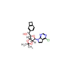 CC1(C)O[C@@H]2[C@@H]([C@H](O)c3ccc4c(c3)CC4)OC(n3ccc4c(Cl)ncnc43)[C@@H]2O1